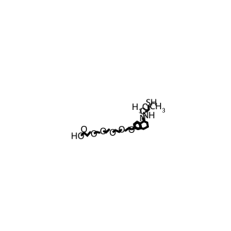 CC(C)(S)CC(=O)NN=C1CCCc2cc(OCCOCCOCCOCCOCCC(=O)O)ccc21